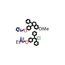 CCN(CC)CCOc1ccc(/C(=C(/Cl)c2ccccc2)c2ccccc2)cc1.COc1ccc2c(c1)CCC(c1ccccc1)=C2c1ccc(OCCN2CCCC2)cc1